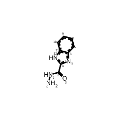 NNC(=O)c1nc2ccccc2[nH]1